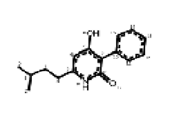 CC(C)CCc1cc(O)c(-c2ccccc2)c(=O)[nH]1